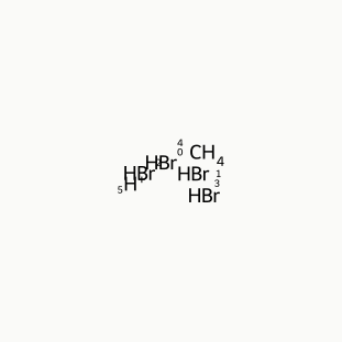 Br.Br.Br.Br.C.[H+]